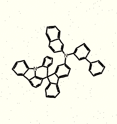 c1ccc(-c2cccc(N(c3ccc4c(c3)C3(c5ccccc5-4)c4ccccc4-n4c5ccccc5c5cccc3c54)c3ccc4ccccc4c3)c2)cc1